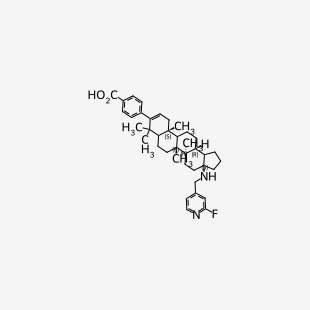 CC1(C)C(c2ccc(C(=O)O)cc2)=CC[C@@]2(C)C1CC[C@]1(C)C2CC[C@@H]2C3CCC[C@]3(NCc3ccnc(F)c3)CC[C@]21C